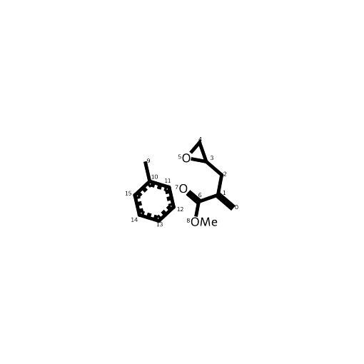 C=C(CC1CO1)C(=O)OC.Cc1ccccc1